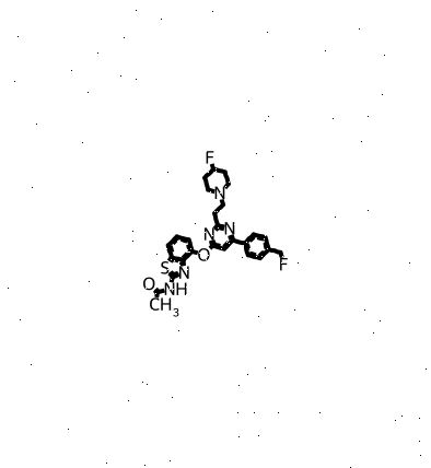 CC(=O)Nc1nc2c(Oc3cc(-c4ccc(CF)cc4)nc(CCN4CCC(F)CC4)n3)cccc2s1